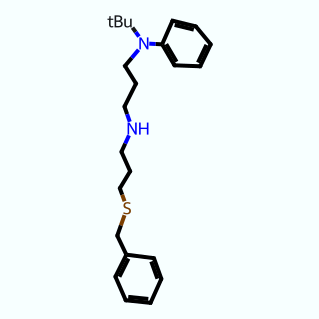 CC(C)(C)N(CCCNCCCSCc1ccccc1)c1ccccc1